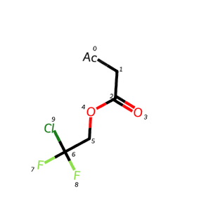 CC(=O)CC(=O)OCC(F)(F)Cl